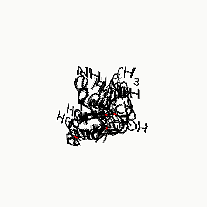 CN[C@H](CC(C)C)C(=O)N[C@H]1C(=O)N[C@@H](CC(=O)NC(=O)Nc2ccc(OCCN)cc2)C(=O)N[C@H]2C(=O)N[C@H]3C(=O)N[C@H](C(=O)N[C@H](C(=O)NC4C5CC6CC(C5)CC4C6)c4cc(O)cc(O)c4-c4cc3ccc4O)[C@H](O)c3ccc(c(Cl)c3)Oc3cc2cc(c3O)Oc2ccc(cc2Cl)[C@H]1O